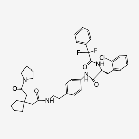 O=C(CC1(CC(=O)N2CCCC2)CCCC1)NCCc1ccc(NC(=O)[C@H](Cc2ccccc2Cl)NC(=O)C(F)(F)c2ccccc2)cc1